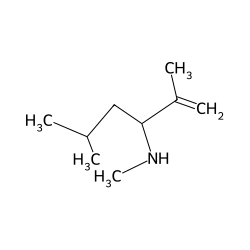 C=C(C)C(CC(C)C)NC